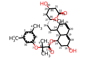 Cc1cc(C)cc(OC(C)(C)C(=O)OC2CC(O)C=C3C=CC(C)C(CC[C@@H]4C[C@@H](O)CC(=O)O4)C32)c1